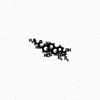 C[C@H](O)[C@@]1(O)CCC2C3CC[C@H]4C[C@H](NC(=O)CN)CC[C@]4(C)C3CC[C@@]21C.Cl